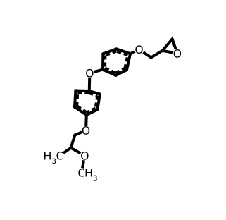 COC(C)COc1ccc(Oc2ccc(OCC3CO3)cc2)cc1